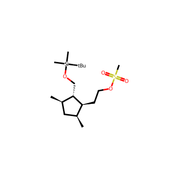 C[C@@H]1C[C@H](C)[C@H](CCOS(C)(=O)=O)[C@H]1CO[Si](C)(C)C(C)(C)C